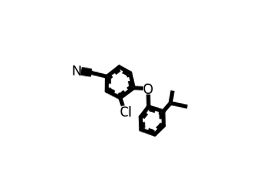 CC(C)c1ccccc1Oc1ccc(C#N)cc1Cl